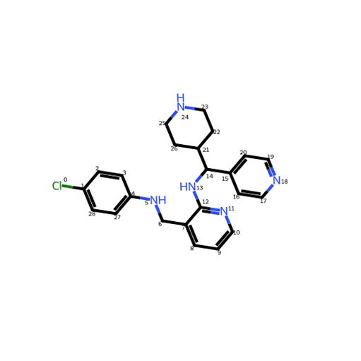 Clc1ccc(NCc2cccnc2NC(c2ccncc2)C2CCNCC2)cc1